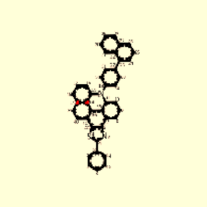 c1ccc(-c2nc3c4cccc(N(c5ccccc5)c5ccc(-c6cccc7ccccc67)cc5)c4c4ccccc4c3s2)cc1